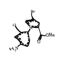 COC(=O)c1cc(Br)cn1-c1ccc(N)cc1Cl